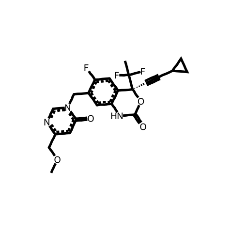 COCc1cc(=O)n(Cc2cc3c(cc2F)[C@@](C#CC2CC2)(C(C)(F)F)OC(=O)N3)cn1